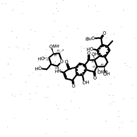 CO[C@H]1[C@H](C)O[C@H](NC2=CC(=O)c3c(cc4c(c3O)C(=O)[C@]3(OC)[C@H](O)Cc5cc(C)c(C(=O)OCC(C)C)c(O)c5[C@]3(O)C4=O)C2=O)C(CO)[C@@H]1O